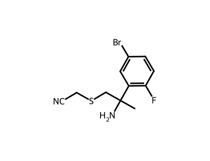 CC(N)(CSCC#N)c1cc(Br)ccc1F